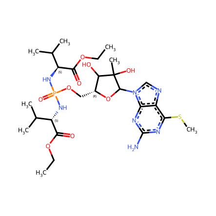 CCOC(=O)[C@@H](NP(=O)(N[C@H](C(=O)OCC)C(C)C)OC[C@H]1OC(n2cnc3c(SC)nc(N)nc32)C(C)(O)C1O)C(C)C